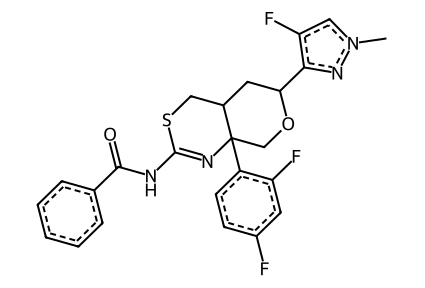 Cn1cc(F)c(C2CC3CSC(NC(=O)c4ccccc4)=NC3(c3ccc(F)cc3F)CO2)n1